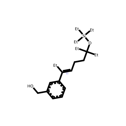 CC/C(=C\CCC(CC)(CC)O[Si](CC)(CC)CC)c1cccc(CO)c1